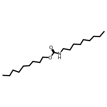 CCCCCCCCCNC(=O)OCCCCCCCCC